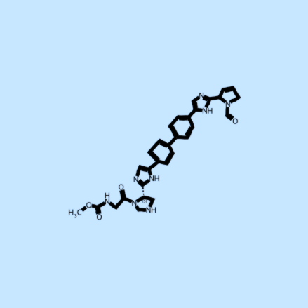 COC(=O)NCC(=O)N1CNC[C@H]1c1ncc(-c2ccc(-c3ccc(-c4cnc(C5C=CCN5C=O)[nH]4)cc3)cc2)[nH]1